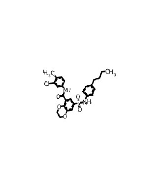 CCCCc1ccc(NS(=O)(=O)c2cc3c(c(C(=O)Nc4ccc(C)c(Cl)c4)c2)OCCO3)cc1